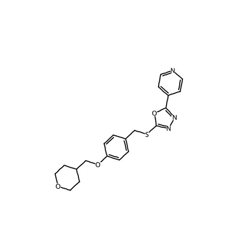 c1cc(-c2nnc(SCc3ccc(OCC4CCOCC4)cc3)o2)ccn1